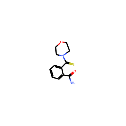 NC(=O)c1ccccc1C(=S)N1CCOCC1